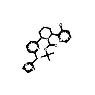 CC(C)(C)OC(=O)N1C(c2cccc(Cc3ncco3)n2)CCCC1c1ncccc1Cl